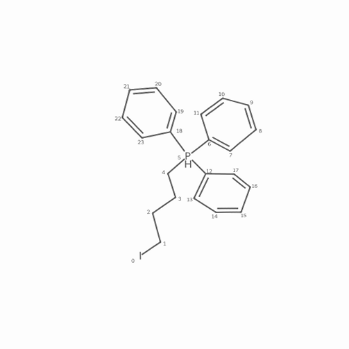 ICCCC[PH](c1ccccc1)(c1ccccc1)c1ccccc1